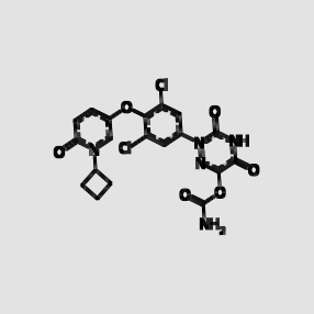 NC(=O)Oc1nn(-c2cc(Cl)c(Oc3ccc(=O)n(C4CCC4)c3)c(Cl)c2)c(=O)[nH]c1=O